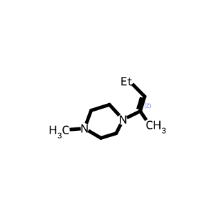 CC/C=C(/C)N1CCN(C)CC1